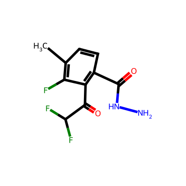 Cc1ccc(C(=O)NN)c(C(=O)C(F)F)c1F